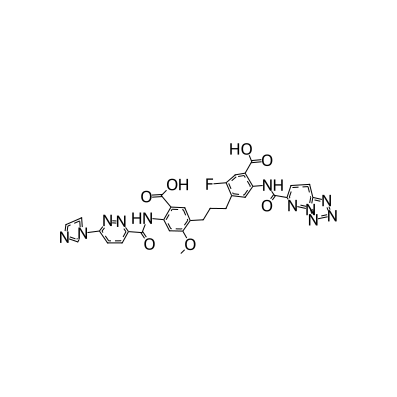 COc1cc(NC(=O)c2ccc(-n3ccnc3)nn2)c(C(=O)O)cc1CCCc1cc(NC(=O)c2ccc3nnnn3n2)c(C(=O)O)cc1F